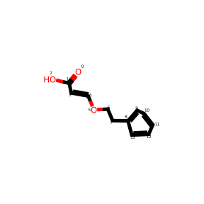 O=C(O)C=COCCc1ccccc1